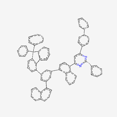 c1ccc(-c2ccc(-c3cc(-c4ccc(-c5cc(-c6cccc7c6-c6ccccc6C7(c6ccccc6)c6ccccc6)cc(-c6cccc7ccccc67)c5)c5ccccc45)nc(-c4ccccc4)n3)cc2)cc1